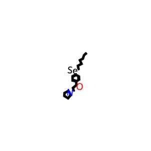 CCCCCCC[Se]c1ccc(C(=O)CCN2CCCCC2)cc1